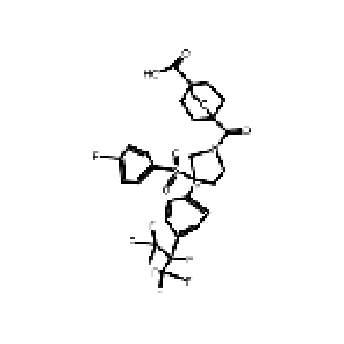 O=C(O)C12CCC(C(=O)N3CC[C@](c4ccc(C(F)(C(F)(F)F)C(F)(F)F)cc4)(S(=O)(=O)c4ccc(F)cc4)C3)(CC1)OC2